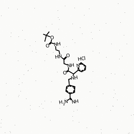 CC(C)(C)OC(=O)NCCNC(=O)CNC(=O)C(NCc1ccc(C(=N)N)cc1)c1ccccn1.Cl